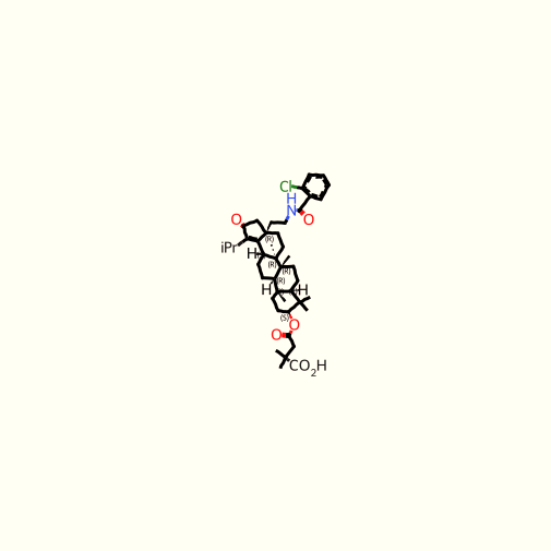 CC(C)C1=C2[C@H]3CC[C@@H]4[C@@]5(C)CC[C@H](OC(=O)CC(C)(C)C(=O)O)C(C)(C)[C@@H]5CC[C@@]4(C)[C@]3(C)CC[C@@]2(CCNC(=O)c2ccccc2Cl)CC1=O